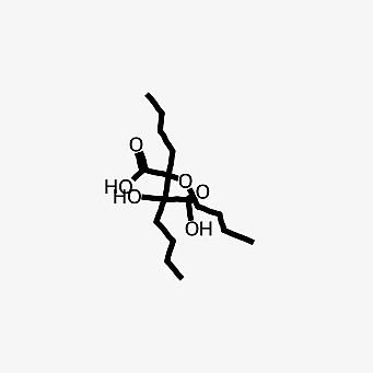 CCCCOC(CCCC)(C(=O)O)C(O)(CCCC)C(=O)O